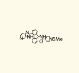 CO[n+]1ccc(C(=O)NC2C3=C(CCC=C3)c3c(-c4nc5ccncc5[nH]4)cccc32)cc1